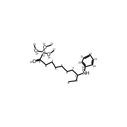 CCC(CCCCCCC(=O)[Si](OC)(OC)OC)Nc1ccccc1